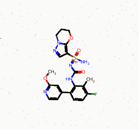 COc1cc(-c2ccc(F)c(C)c2NC(=O)N=[S@@](N)(=O)c2cnn3c2OCCC3)ccn1